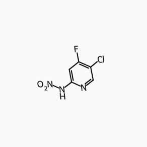 O=[N+]([O-])Nc1cc(F)c(Cl)cn1